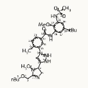 CCCCOCC1=NCC(C2=CN(c3cc(C(=O)Nc4cc(C(C)(C)C)cc(NS(C)(=O)=O)c4OC)ccc3C)NN2)N1C